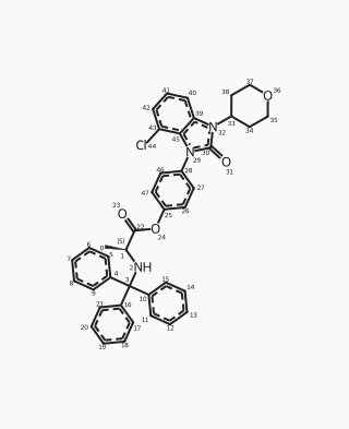 C[C@H](NC(c1ccccc1)(c1ccccc1)c1ccccc1)C(=O)Oc1ccc(-n2c(=O)n(C3CCOCC3)c3cccc(Cl)c32)cc1